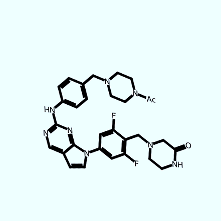 CC(=O)N1CCN(Cc2ccc(Nc3ncc4ccn(-c5cc(F)c(CN6CCNC(=O)C6)c(F)c5)c4n3)cc2)CC1